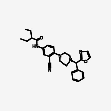 CCC(CC)C(=O)Nc1ccc(N2CCN(C(c3ccccc3)c3ncco3)CC2)c(C#N)c1